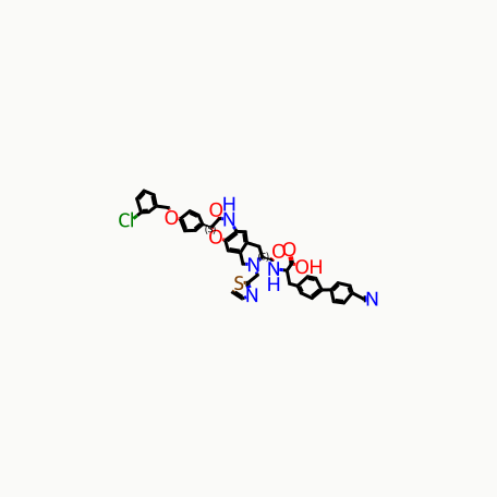 N#Cc1ccc(-c2ccc(CC(NC(=O)[C@@H]3Cc4cc5c(cc4CN3Cc3nccs3)O[C@@H](c3ccc(OCc4cccc(Cl)c4)cc3)C(=O)N5)C(=O)O)cc2)cc1